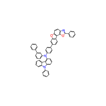 c1ccc(-c2cccc(N(c3ccc(-c4ccc5c(c4)oc4ccc6nc(-c7ccccc7)oc6c45)cc3)c3cccc4c3c3ccccc3n4-c3ccccc3)c2)cc1